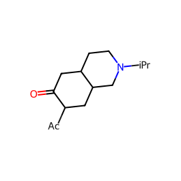 CC(=O)C1CC2CN(C(C)C)CCC2CC1=O